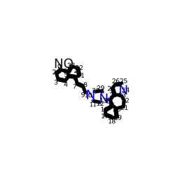 O=[N+]([O-])c1cccc2c(C=CCN3CCN(C4c5ccccc5CCc5ncccc54)CC3)cccc12